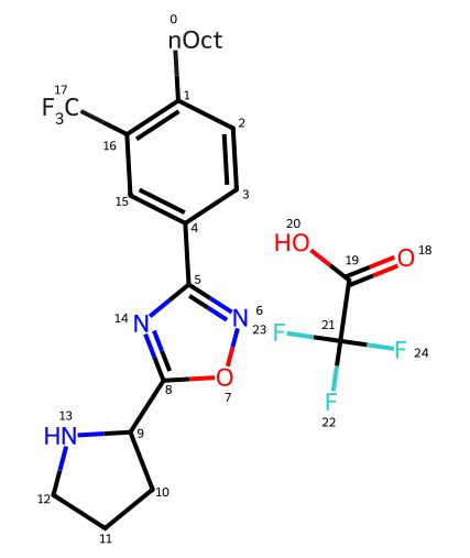 CCCCCCCCc1ccc(-c2noc(C3CCCN3)n2)cc1C(F)(F)F.O=C(O)C(F)(F)F